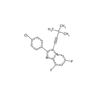 CS(C)(C)C#Cc1c(-c2ccc(Cl)cc2)nc2c(F)cc(F)cn12